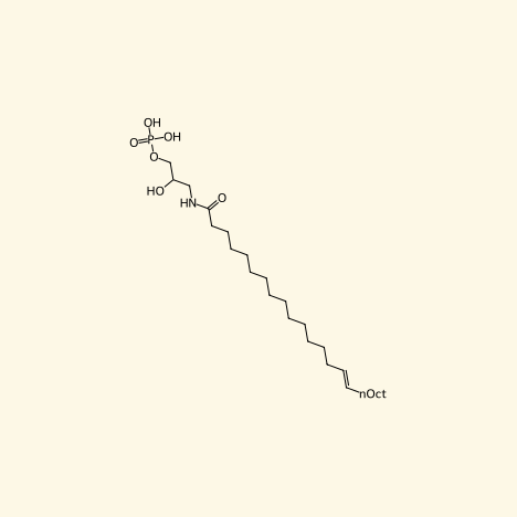 CCCCCCCCC=CCCCCCCCCCCCCCC(=O)NCC(O)COP(=O)(O)O